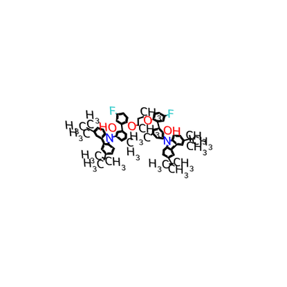 Cc1cc(-c2cc(F)ccc2O[C@H](C)C[C@@H](C)Oc2ccc(F)cc2-c2cc(C)cc(-n3c4ccc(C(C)(C)C)cc4c4cc(C(C)(C)C)ccc43)c2O)c(O)c(-n2c3ccc(C(C)(C)C)cc3c3cc(C(C)(C)C)ccc32)c1